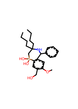 CCCCC1(CCCC)CS(O)(O)c2cc(CO)c(OC)cc2C(c2ccccc2)N1